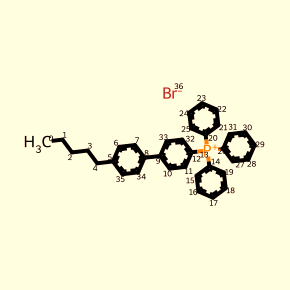 CCCCCc1ccc(-c2ccc([P+](c3ccccc3)(c3ccccc3)c3ccccc3)cc2)cc1.[Br-]